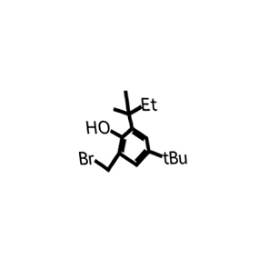 CCC(C)(C)c1cc(C(C)(C)C)cc(CBr)c1O